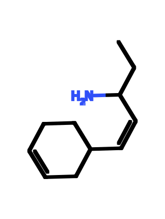 CCC(N)/C=C\C1CC=CCC1